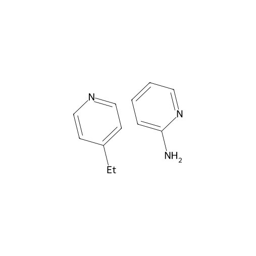 CCc1ccncc1.Nc1ccccn1